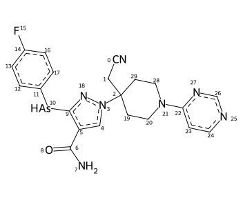 N#CCC1(n2cc(C(N)=O)c([AsH]c3ccc(F)cc3)n2)CCN(c2ccncn2)CC1